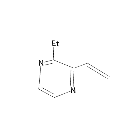 C=Cc1nccnc1CC